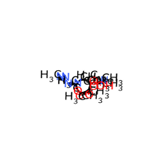 CO[C@]1(C)C[C@@H](C)CN(C)C(C2CN(Cc3cn(C)cn3)C2)COC(=O)C(C)(C)C(=O)[C@H](C)[C@H]1O[C@@H]1O[C@H](C)C[C@H](N(C)C)[C@H]1O